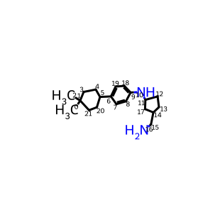 CC1(C)CCC(c2ccc(NC3CCC(CN)C3)cc2)CC1